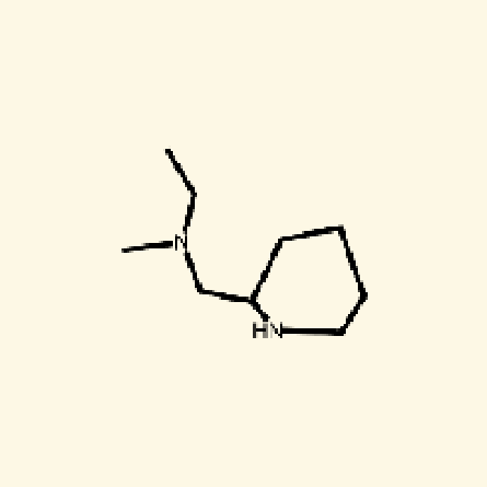 CCN(C)CC1CCCCN1